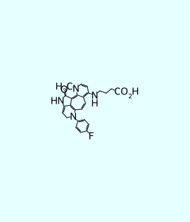 CN1C=CC(NCCCC(=O)O)=c2ccc3c4c([nH]c(=O)c-4c21)=CCN3c1ccc(F)cc1